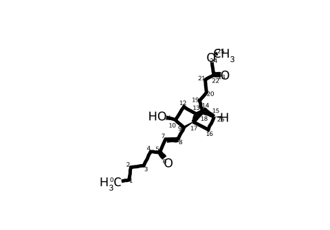 CCCCCC(=O)C=CC1C(O)CC2C[C@H]3C[C@@]21C3CCCC(=O)OC